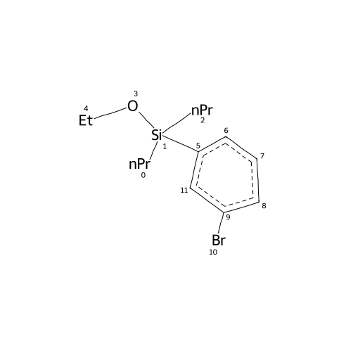 CCC[Si](CCC)(OCC)c1cccc(Br)c1